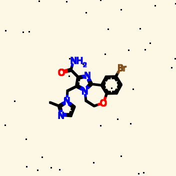 Cc1nccn1Cc1c(C(N)=O)nc2n1CCOc1ccc(Br)cc1-2